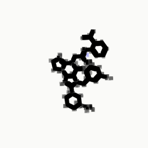 C=C(C)c1ccccc1/N=C(\N)CN1C(=O)c2c(nc(N3CCC[C@@H](N)C3)n2Cc2cccc(F)c2)N2CCN=C12